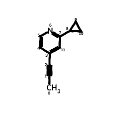 CC#Cc1ccnc(C2CC2)c1